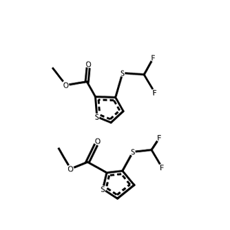 COC(=O)c1sccc1SC(F)F.COC(=O)c1sccc1SC(F)F